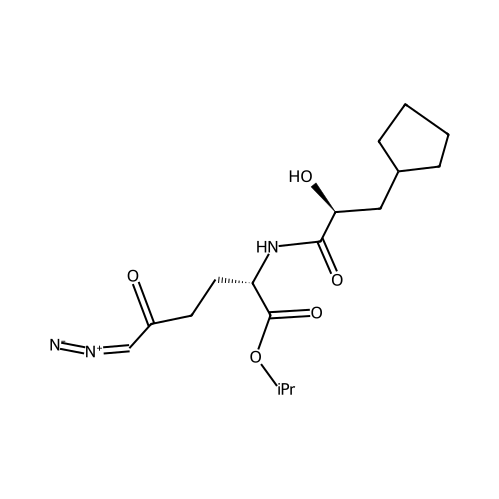 CC(C)OC(=O)[C@H](CCC(=O)C=[N+]=[N-])NC(=O)[C@@H](O)CC1CCCC1